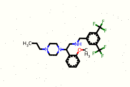 CCCN1CCN(C(CNCc2cc(C(F)(F)F)cc(C(F)(F)F)c2)c2ccccc2OC)CC1